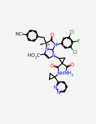 C[C@@]1(Cc2ccc(C#N)cc2)C(=O)N(c2cc(Cl)c(F)c(Cl)c2)C2N(C3CC3(C(N)=O)C(=O)NC3(c4cccnn4)CC3)C=C(C(=O)O)N21